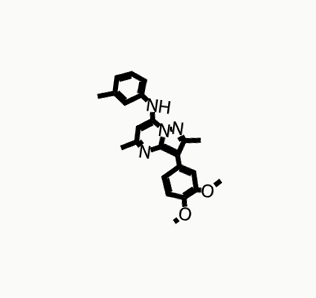 COc1ccc(-c2c(C)nn3c(Nc4cccc(C)c4)cc(C)nc23)cc1OC